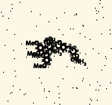 CCCCOc1nc(CCc2ccc(CN3CCC(OC(N)=O)CC3)cc2OC)c(N)c(N(Cc2ccc(OC)cc2OC)Cc2ccc(OC)cc2OC)n1